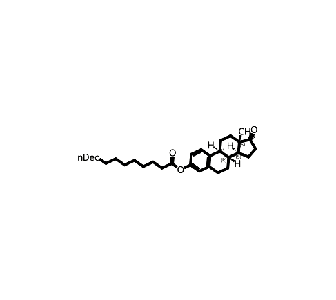 CCCCCCCCCCCCCCCCCC(=O)Oc1ccc2c(c1)CC[C@@H]1[C@@H]2CC[C@]2(C)C(=O)CC[C@@H]12